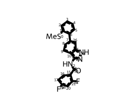 CSc1ccccc1-c1ccc2c(NC(=O)c3ccc(F)cc3F)n[nH]c2c1